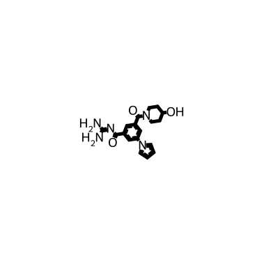 NC(N)=NC(=O)c1cc(C(=O)N2CCC(O)CC2)cc(-n2cccc2)c1